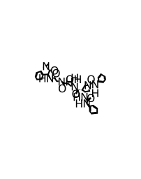 CN(C)C(=O)C(NC(=O)CNC(=O)C(O)CNC(=O)[C@@H]1CN(C(=O)Nc2ccccc2)C[C@@H]1NC(=O)Nc1ccccc1)C1=CC=CCC1